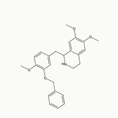 COc1cc2c(cc1OC)C(Cc1ccc(OC)c(OCc3ccccc3)c1)NCC2